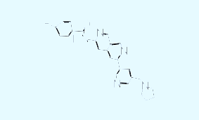 O=C(Nc1cc2cc(-c3cncc(CN4CCCC4)c3)ncc2cn1)c1ccc(F)cc1